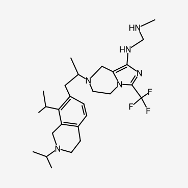 CNCNc1nc(C(F)(F)F)n2c1CN(C(C)Cc1ccc3c(c1C(C)C)CN(C(C)C)CC3)CC2